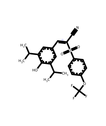 CC(C)c1cc(/C=C(/C#N)S(=O)(=O)c2ccc(OC(F)(F)F)cc2)cc(C(C)C)c1O